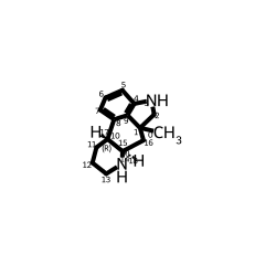 CC12CNc3cccc(c31)[C@H]1CCCN[C@@H]1C2